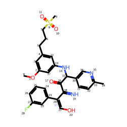 COc1cc(CCCS(C)(=O)=O)cc(NC(C(=O)C(=N)/C(=C\O)c2cccc(F)c2)c2ccc(C)nc2)c1